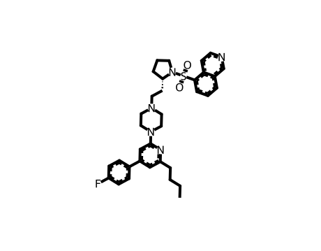 CCCCc1cc(-c2ccc(F)cc2)cc(N2CCN(CC[C@@H]3CCCN3S(=O)(=O)c3cccc4cnccc34)CC2)n1